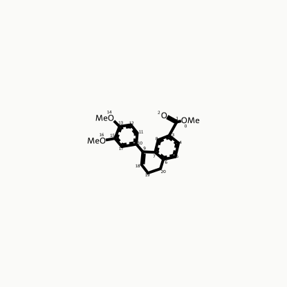 COC(=O)c1ccc2c(c1)C(c1ccc(OC)c(OC)c1)=CCC2